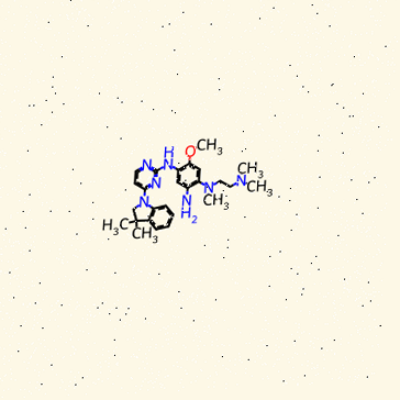 COc1cc(N(C)CCN(C)C)c(N)cc1Nc1nccc(N2CC(C)(C)c3ccccc32)n1